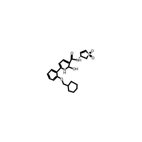 O=C(N[C@@H]1C=CS(=O)(=O)C1)C1=CC=C(c2ccccc2OCC2CCCCC2)NC1O